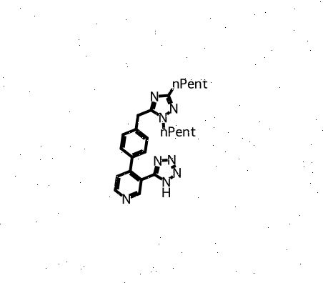 CCCCCc1nc(Cc2ccc(-c3ccncc3-c3nnn[nH]3)cc2)n(CCCCC)n1